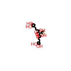 O=c1oc(C=Cc2ccc(O)c(O)c2)cc(O)c1C(c1ccsc1)c1c(O)cc(C=Cc2ccc(O)c(O)c2)oc1=O